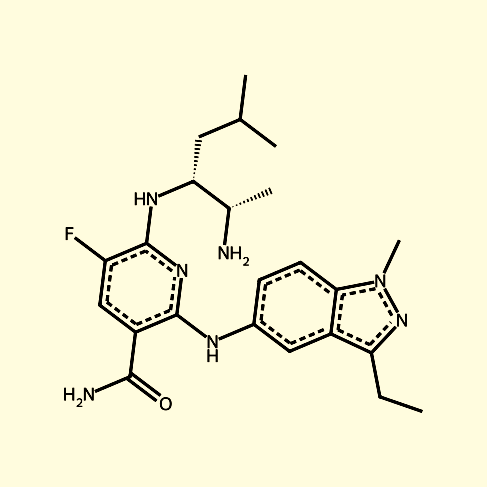 CCc1nn(C)c2ccc(Nc3nc(N[C@H](CC(C)C)[C@H](C)N)c(F)cc3C(N)=O)cc12